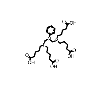 O=C(O)CCCCP(CCCCC(=O)O)CN(CP(CCCCC(=O)O)CCCCC(=O)O)c1ccccc1